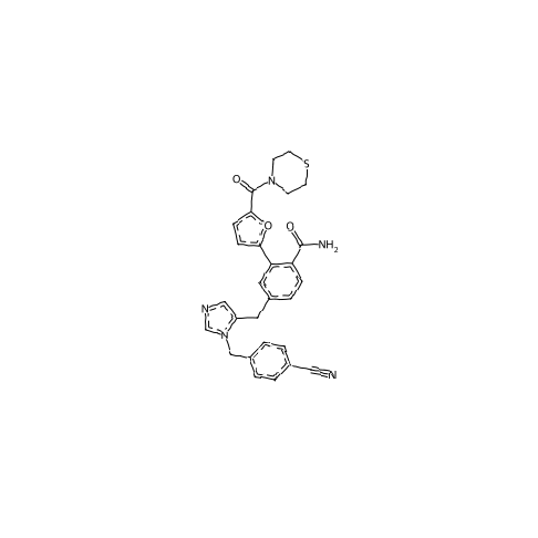 N#Cc1ccc(Cn2cncc2Cc2ccc(C(N)=O)c(-c3ccc(C(=O)N4CCSCC4)o3)c2)cc1